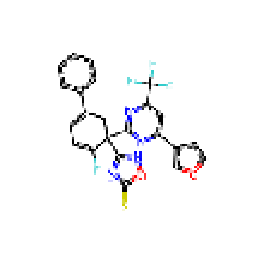 FC1=CC=C(c2ccccc2)CC1(c1nc(-c2ccoc2)cc(C(F)(F)F)n1)c1noc(=S)[nH]1